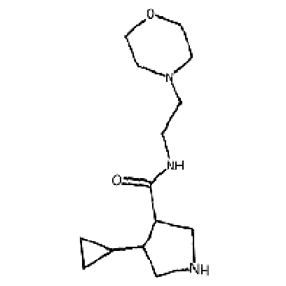 O=C(NCCN1CCOCC1)C1CNCC1C1CC1